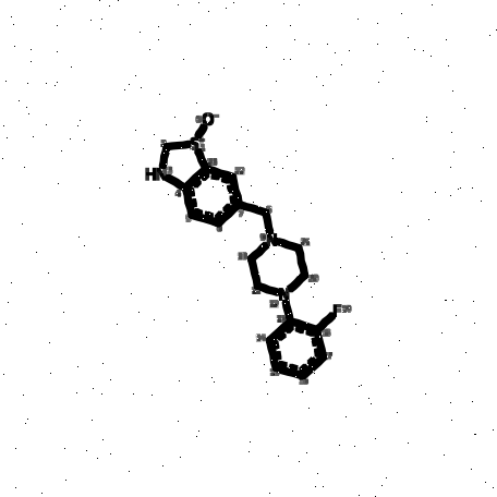 [O-][S+]1CNc2ccc(CN3CCN(c4ccccc4F)CC3)cc21